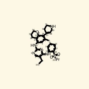 Cc1cc(Nc2ncc(CI)c(Nc3ccccc3S(=O)(=O)C(C)C)n2)c2c(c1C1=CCNCC1)OCCC2